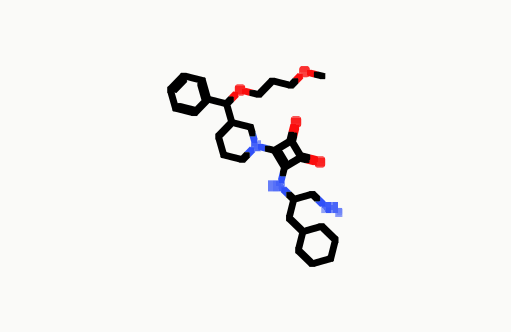 COCCCOC(c1ccccc1)C1CCCN(c2c(NC(CN)CC3CCCCC3)c(=O)c2=O)C1